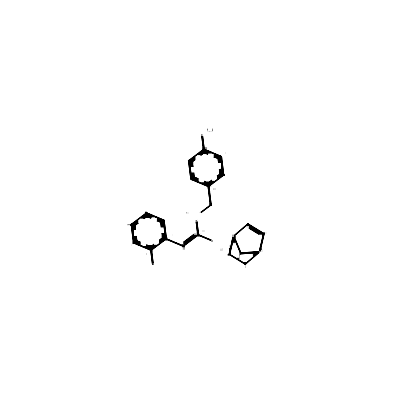 C1=CC2CCC1C2.CCc1ccccc1C=C(OCc1ccc(OC)cc1)C(=O)O